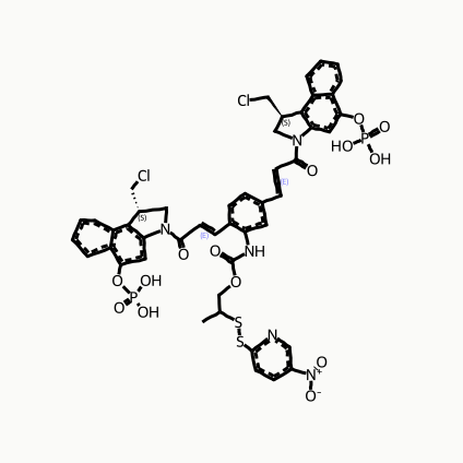 CC(COC(=O)Nc1cc(/C=C/C(=O)N2C[C@@H](CCl)c3c2cc(OP(=O)(O)O)c2ccccc32)ccc1/C=C/C(=O)N1C[C@@H](CCl)c2c1cc(OP(=O)(O)O)c1ccccc21)SSc1ccc([N+](=O)[O-])cn1